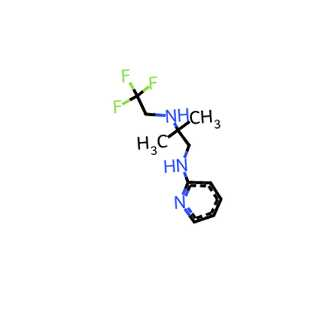 CC(C)(CNc1ccccn1)NCC(F)(F)F